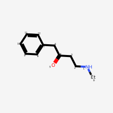 CCNCCC(=O)Cc1ccccc1